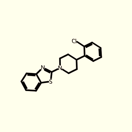 Clc1ccccc1C1CCN(c2nc3ccccc3s2)CC1